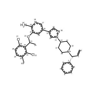 C=C[C@H](c1ccccc1)N1CCC(n2cc(-c3cnc(N)c(OC(C)c4c(Cl)ccc(F)c4Cl)c3)cn2)CC1